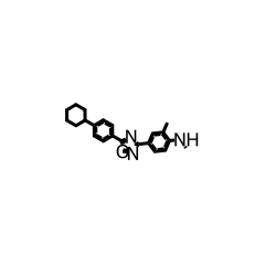 CNc1ccc(-c2noc(-c3ccc(C4CCCCC4)cc3)n2)cc1C